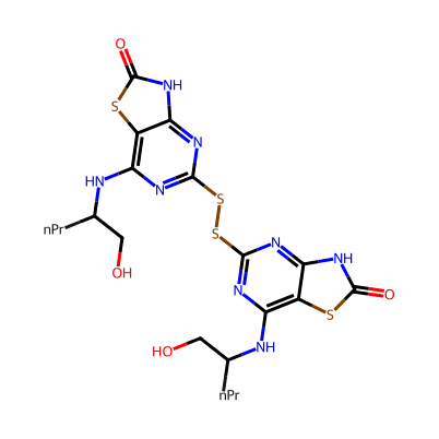 CCCC(CO)Nc1nc(SSc2nc(NC(CO)CCC)c3sc(=O)[nH]c3n2)nc2[nH]c(=O)sc12